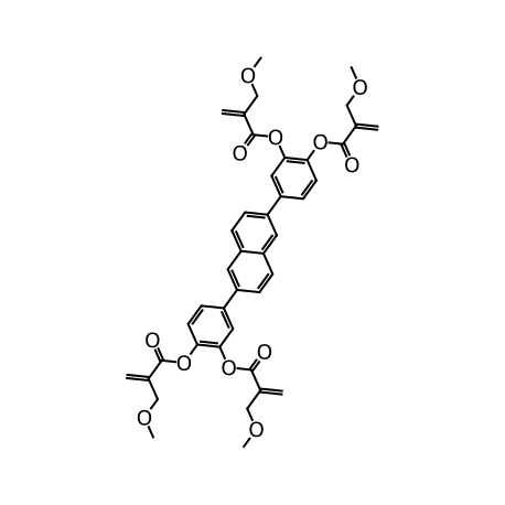 C=C(COC)C(=O)Oc1ccc(-c2ccc3cc(-c4ccc(OC(=O)C(=C)COC)c(OC(=O)C(=C)COC)c4)ccc3c2)cc1OC(=O)C(=C)COC